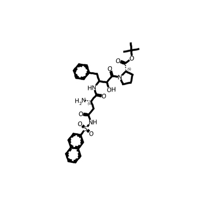 CC(C)(C)OC(=O)[C@@H]1CCCN1C(=O)C(O)C(Cc1ccccc1)NC(=O)[C@@H](N)CC(=O)NS(=O)(=O)c1ccc2ccccc2c1